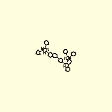 c1ccc(-c2nc(-c3ccccc3)nc(-c3ccc4cc(-c5ccc(-c6nc7ccccc7c7ccc8c(nc(-c9ccccc9)n8-c8ccccc8)c67)cc5)ccc4c3)n2)cc1